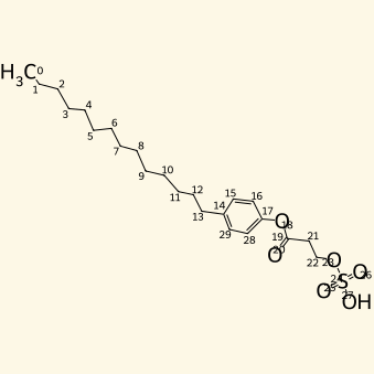 CCCCCCCCCCCCCCc1ccc(OC(=O)CCOS(=O)(=O)O)cc1